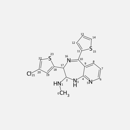 CNC1Nc2ncccc2C(c2cccs2)=NC1c1cc(Cl)cs1